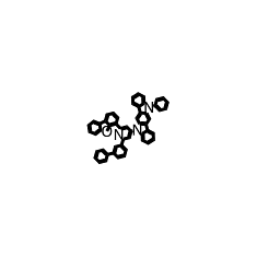 c1ccc(-c2cccc(-c3cc(-n4c5ccccc5c5cc6c(cc54)c4ccccc4n6-c4ccccc4)cc(-c4cccc5c4oc4ccccc45)n3)c2)cc1